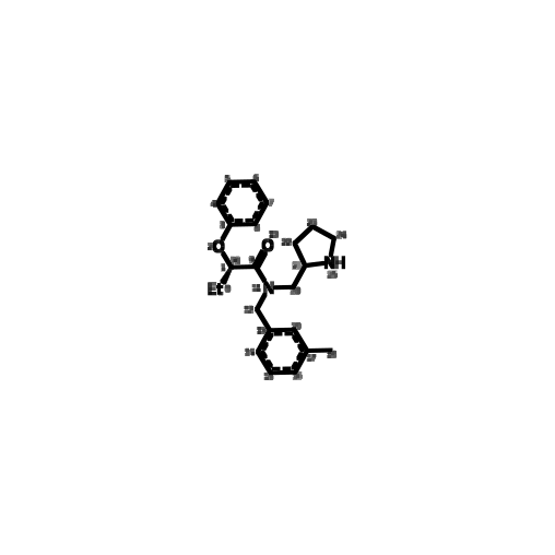 CC[C@@H](Oc1ccccc1)C(=O)N(Cc1cccc(C)c1)CC1CCCN1